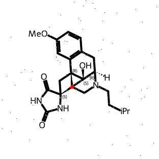 COc1ccc2c(c1)[C@]13CCN(CCC(C)C)[C@H](C2)[C@]1(O)CC[C@@]1(C3)NC(=O)NC1=O